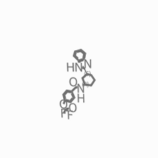 O=C(N[C@@H]1CCC[C@H](c2nc3ccccc3[nH]2)C1)c1ccc2c(c1)OC(F)(F)O2